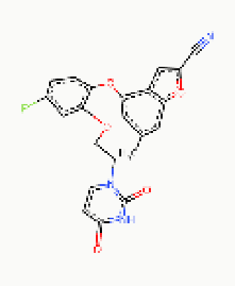 Cc1cc(Oc2ccc(F)cc2OCCn2ccc(=O)[nH]c2=O)c2cc(C#N)oc2c1